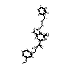 COc1cccc(CNC(=O)c2nc3cnn(CCCc4ccccc4)c3c(=O)[nH]2)c1